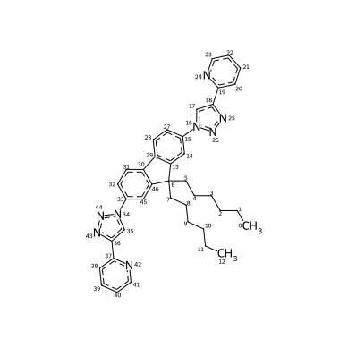 CCCCCCC1(CCCCCC)c2cc(-n3cc(-c4ccccn4)nn3)ccc2-c2ccc(-n3cc(-c4ccccn4)nn3)cc21